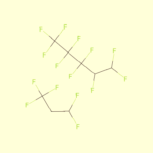 FC(F)C(F)C(F)(F)C(F)(F)C(F)(F)F.FC(F)CC(F)(F)F